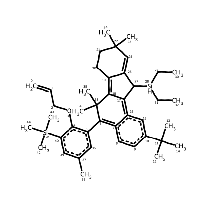 C=CCOc1c(C2=c3ccc(C(C)(C)C)cc3=C3C(=C4CCC(C)(C)C=C4C3[SiH](CC)CC)C2(C)C)cc(C)cc1[Si](C)(C)C